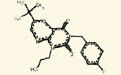 CCCn1c(=O)n(Cc2ccc(Cl)cc2)c(=O)c2nc(C(C)(C)C)cnc21